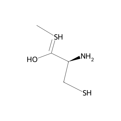 C[SH]=C(O)[C@@H](N)CS